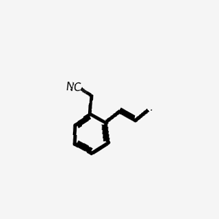 [CH2]C=Cc1ccccc1CC#N